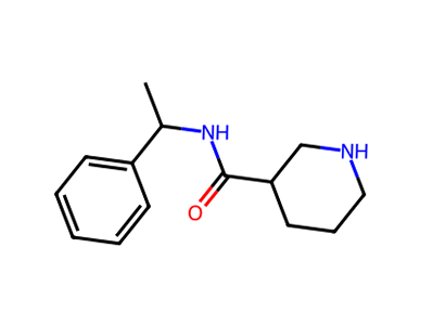 CC(NC(=O)C1CCCNC1)c1ccccc1